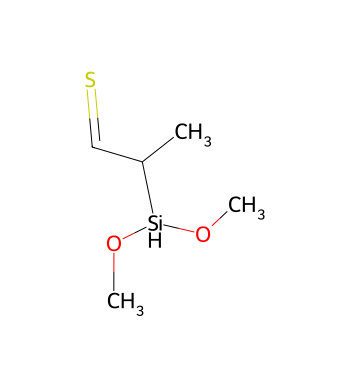 CO[SiH](OC)C(C)C=S